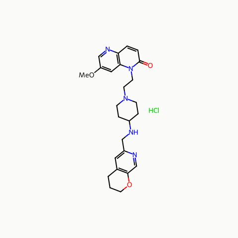 COc1cnc2ccc(=O)n(CCN3CCC(NCc4cc5c(cn4)OCCC5)CC3)c2c1.Cl